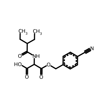 CCC(CC)C(=O)NC(C(=O)O)C(=O)OCc1ccc(C#N)cc1